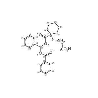 CC(=O)O.NCC1(C(=O)OC(OC(=O)c2ccccc2)c2ccccc2)CCCCC1